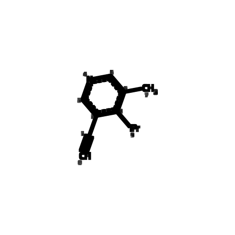 C#Cc1cncc(C)c1C(C)C